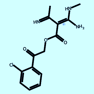 CN/C(N)=C(\C(C)=N)C(=O)OCC(=O)c1ccccc1Cl